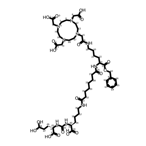 O=C(O)CN1CCN(CC(=O)O)CCN(CC(=O)NCCCCC(NC(=O)CCCCCCC(=O)NCCCC[C@H](NC(=O)N[C@@H](CCC(O)O)C(=O)O)C(=O)O)C(=O)OCc2ccccc2)CCN(CC(=O)O)CC1